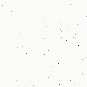 Cc1c(Br)ccc2oc(C(C)O)cc12